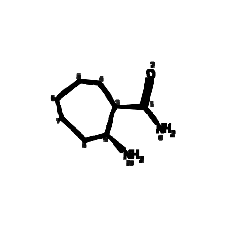 NC(=O)[C@@H]1CCCCC[C@@H]1N